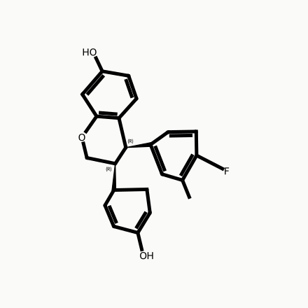 Cc1cc([C@@H]2c3ccc(O)cc3OC[C@@H]2C2C=CC(O)=CC2)ccc1F